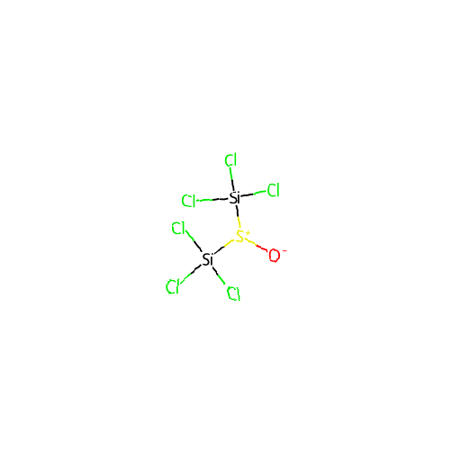 [O-][S+]([Si](Cl)(Cl)Cl)[Si](Cl)(Cl)Cl